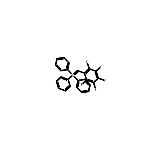 Fc1c(F)c(F)c(C=P(c2ccccc2)(c2ccccc2)c2ccccc2)c(F)c1F